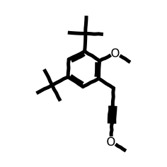 COC#CCc1cc(C(C)(C)C)cc(C(C)(C)C)c1OC